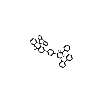 c1ccc(-c2nc(-c3ccc(-c4ccc5c(c4)C4(c6ccccc6O5)c5ccccc5-c5ccccc54)cc3)cc(-c3ccccc3-c3ccccc3)n2)cc1